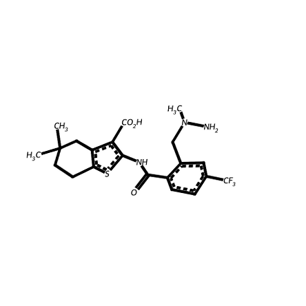 CN(N)Cc1cc(C(F)(F)F)ccc1C(=O)Nc1sc2c(c1C(=O)O)CC(C)(C)CC2